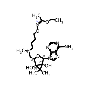 CCO/C(C)=N\OCCCCN(C)C[C@H]1O[C@@H](n2cnc3c(N)ncnc32)[C@]2(O)C(C)(C)[C@]12O